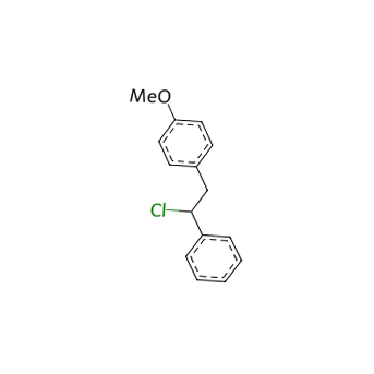 COc1ccc(CC(Cl)c2ccccc2)cc1